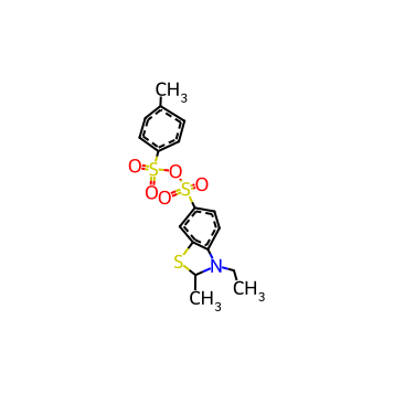 CCN1c2ccc(S(=O)(=O)OS(=O)(=O)c3ccc(C)cc3)cc2SC1C